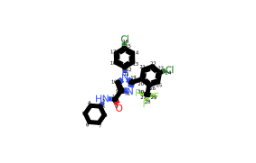 O=C(NC1CCCCC1)c1cn(-c2ccc(Cl)cc2)c(-c2ccc(Cl)cc2C(F)(F)F)n1